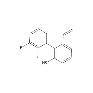 C=Cc1cccc(S)c1-c1cccc(F)c1C